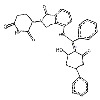 O=C1CCC(N2Cc3c(N/C(=C4/C(=O)CC(c5ccccc5)CC4O)c4ccccc4)cccc3C2=O)C(=O)N1